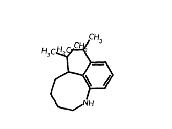 CC(C)c1cccc2c1C(C(C)C)CCCCN2